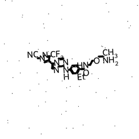 CCc1cc(Nc2nccn3c(-c4cn(CC#N)nc4C(F)(F)F)cnc23)ccc1C(=O)NCCOCC(C)N